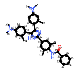 Cc1cc(N(C)C)ccc1-c1nc(-c2cc(C)c(NC(=O)c3ccccc3)c(C)c2)[nH]c1-c1ccc(N(C)C)cc1C